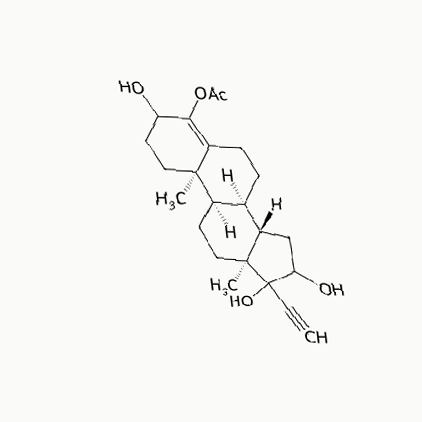 C#CC1(O)C(O)C[C@H]2[C@@H]3CCC4=C(OC(C)=O)C(O)CC[C@]4(C)[C@@H]3CC[C@@]21C